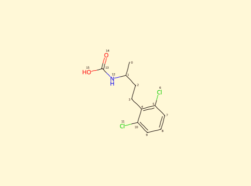 CC(CCc1c(Cl)cccc1Cl)NC(=O)O